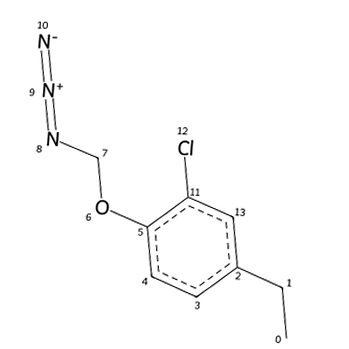 CCc1ccc(OCN=[N+]=[N-])c(Cl)c1